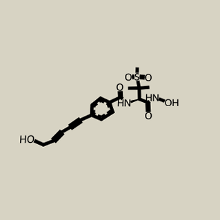 CC(C)([C@H](NC(=O)c1ccc(C#CC#CCO)cc1)C(=O)NO)S(C)(=O)=O